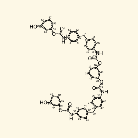 O=C(Nc1ccc(Cc2ccc(NC(=O)Oc3cccc(OC(=O)Nc4ccc(Cc5ccc(NC(=O)Oc6cccc(O)c6)cc5)cc4)c3)cc2)cc1)Oc1cccc(O)c1